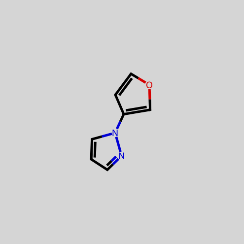 c1cnn(-c2ccoc2)c1